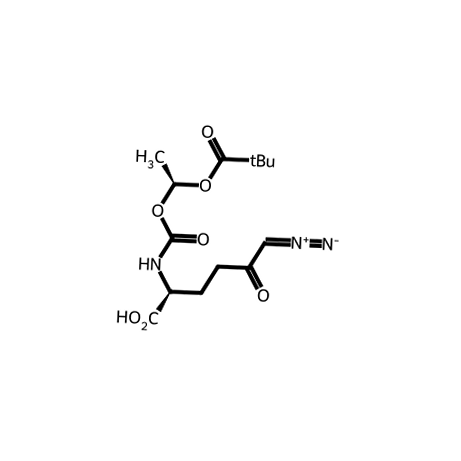 C[C@H](OC(=O)N[C@@H](CCC(=O)C=[N+]=[N-])C(=O)O)OC(=O)C(C)(C)C